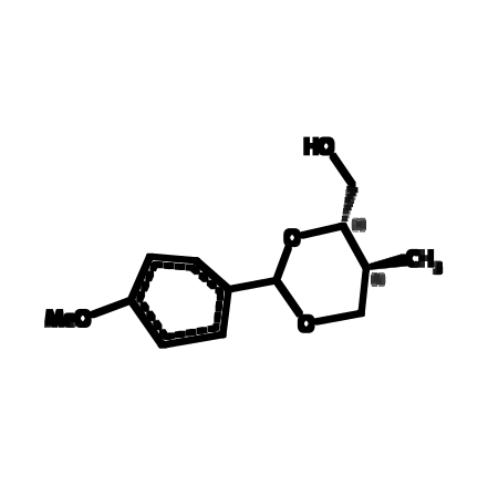 COc1ccc(C2OC[C@H](C)[C@@H](CO)O2)cc1